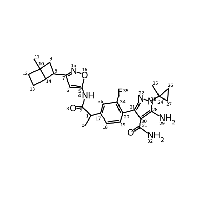 CC(C(=O)Nc1cc(C2CC3(C)CCC23)no1)c1ccc(-c2nn(C3(C)CC3)c(N)c2C(N)=O)c(F)c1